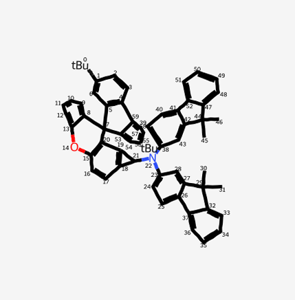 CC(C)(C)c1ccc2c(c1)C1(c3ccccc3Oc3ccc4c(c31)C4N(c1ccc3c(c1)C(C)(C)c1ccccc1-3)c1ccc3c(c1)C(C)(C)c1ccccc1-3)c1cc(C(C)(C)C)ccc1-2